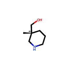 C[C@@]1(CO)CCCNC1